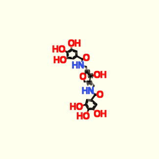 O=C(NC[C@@H]1CO[C@H](CNC(=O)c2cc(O)c(O)c(O)c2)[C@H]1O)c1cc(O)c(O)c(O)c1